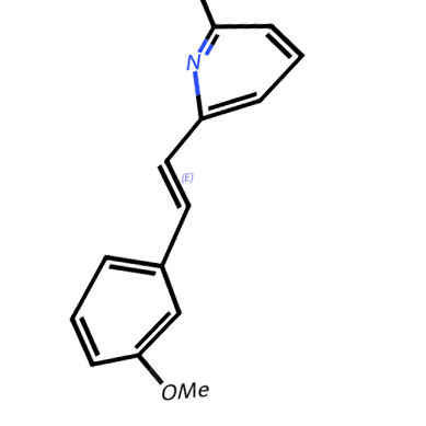 COc1cccc(/C=C/c2cccc(C)n2)c1